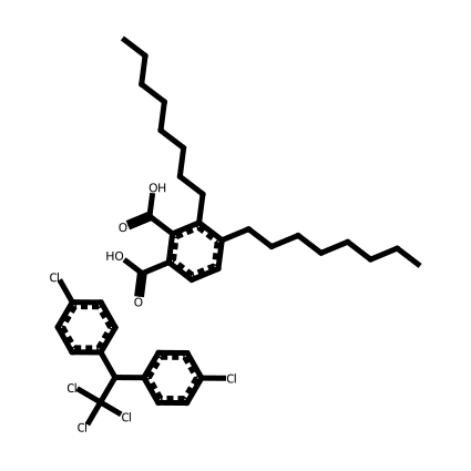 CCCCCCCCc1ccc(C(=O)O)c(C(=O)O)c1CCCCCCCC.Clc1ccc(C(c2ccc(Cl)cc2)C(Cl)(Cl)Cl)cc1